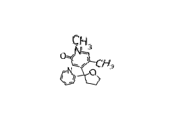 Cc1cn(C)c(=O)cc1C1(c2ccccn2)CCCO1